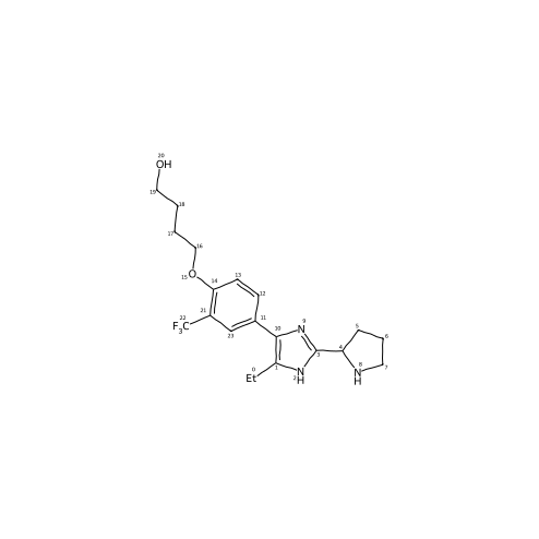 CCc1[nH]c(C2CCCN2)nc1-c1ccc(OCCCCO)c(C(F)(F)F)c1